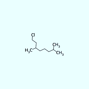 CC(C)CCCC(C)CCCl